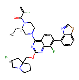 C=C(F)C(=O)N1CCN(c2nc(OCC34CCCN3C[C@H](F)C4)nc3c(F)c(-c4cccc5scnc45)ccc23)C[C@@H]1CC#N